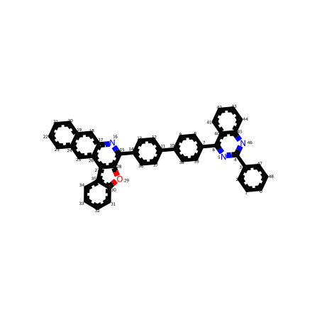 c1ccc(-c2nc(-c3ccc(-c4ccc(-c5nc6cc7ccccc7cc6c6c5oc5ccccc56)cc4)cc3)c3ccccc3n2)cc1